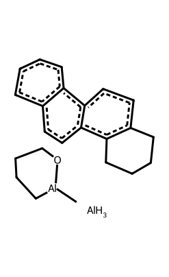 [AlH3].[CH3][Al]1[CH2]CCC[O]1.c1ccc2c(c1)ccc1c3c(ccc12)CCCC3